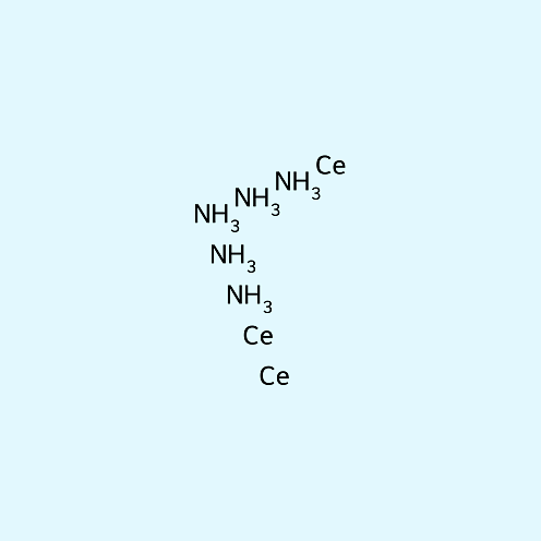 N.N.N.N.N.[Ce].[Ce].[Ce]